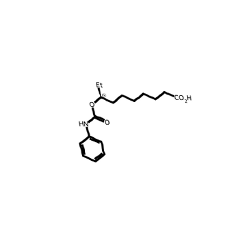 CC[C@@H](CCCCCCC(=O)O)OC(=O)Nc1ccccc1